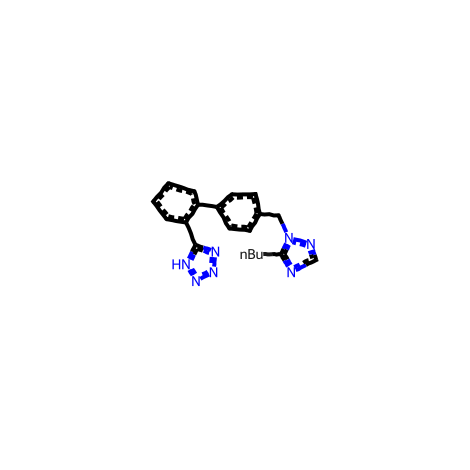 CCCCc1ncnn1Cc1ccc(-c2ccccc2-c2nnn[nH]2)cc1